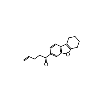 C=CCCC(=O)c1ccc2c3c(oc2c1)CCCC3